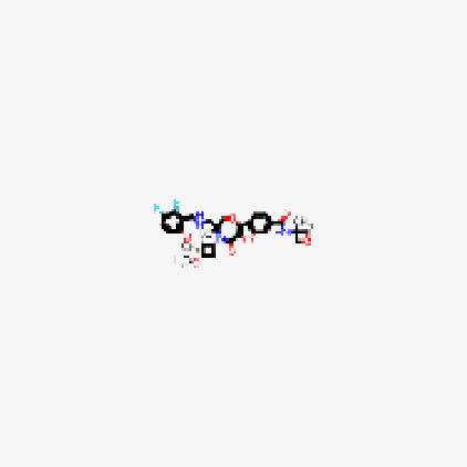 COc1ccc(F)c(F)c1CNCC1(C)COc2c(oc3cc(C(=O)NC4(C)COC4)ccc23)C(=O)N1[C@H]1C[C@@H](OC)C1